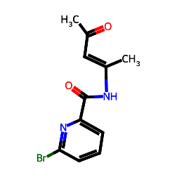 CC(=O)C=C(C)NC(=O)c1cccc(Br)n1